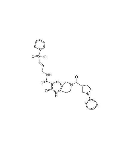 O=C(NC/C=C/S(=O)(=O)c1ccccc1)c1cc2c([nH]c1=O)CCN(C(=O)C1CCN(c3ccccc3)C1)C2